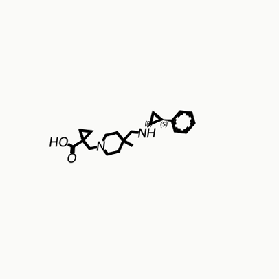 CC1(CN[C@@H]2C[C@H]2c2ccccc2)CCN(CC2(C(=O)O)CC2)CC1